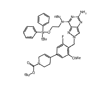 CCCCN(CCO[Si](c1ccccc1)(c1ccccc1)C(C)(C)C)c1nc(N)nc2cn(Cc3c(F)cc(C4=CCN(C(=O)OC(C)(C)C)CC4)cc3OC)nc12